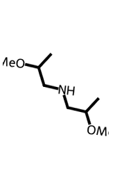 COC(C)CNCC(C)OC